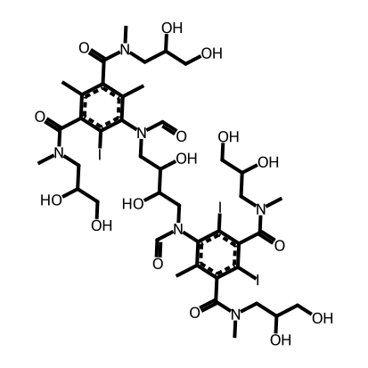 Cc1c(C(=O)N(C)CC(O)CO)c(C)c(N(C=O)CC(O)C(O)CN(C=O)c2c(C)c(C(=O)N(C)CC(O)CO)c(I)c(C(=O)N(C)CC(O)CO)c2I)c(I)c1C(=O)N(C)CC(O)CO